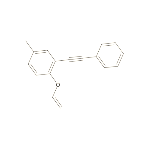 C=COc1ccc(C)cc1C#Cc1ccccc1